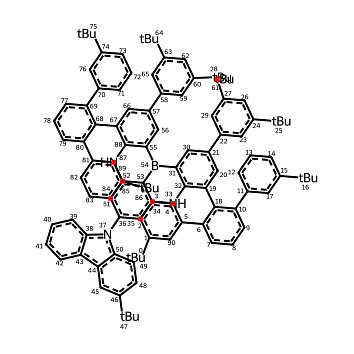 CC(C)(C)c1cccc(-c2cccc(-c3cccc(C(C)(C)C)c3)c2-c2cc(-c3cc(C(C)(C)C)cc(C(C)(C)C)c3)cc3c2Nc2cc(-n4c5ccccc5c5cc(C(C)(C)C)ccc54)cc4c2B3c2cc(-c3cc(C(C)(C)C)cc(C(C)(C)C)c3)cc(-c3c(-c5cccc(C(C)(C)C)c5)cccc3-c3cccc(C(C)(C)C)c3)c2N4)c1